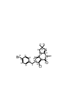 CN1C(=O)c2c(nn(Cc3ccc(Br)cc3)c2Cl)N2CC(C)(C)N=C12